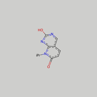 CC(C)n1c(=O)ccc2cnc(O)nc21